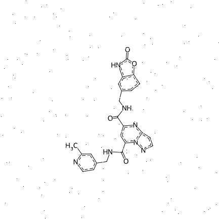 Cc1cc(CNC(=O)c2cc(C(=O)NCc3ccc4oc(=O)[nH]c4c3)nc3ccnn23)ccn1